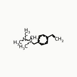 C=Cc1ccc(C[Si](C)(C)N(C)C)cc1